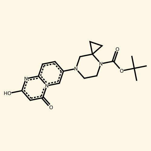 CC(C)(C)OC(=O)N1CCN(c2ccc3nc(O)cc(=O)n3c2)CC12CC2